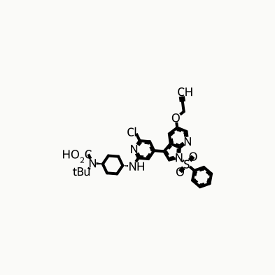 C#CCOc1cnc2c(c1)c(-c1cc(Cl)nc(N[C@H]3CC[C@H](N(C(=O)O)C(C)(C)C)CC3)c1)cn2S(=O)(=O)c1ccccc1